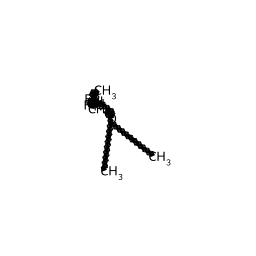 CCCCCCCCCCCCCCCCCCCCC(CCCCCCCCCCCCCCCCCC)COc1ccc(CCCn2nc3c(C)c(F)c(F)c(-c4ccc(C)s4)c3n2)cc1